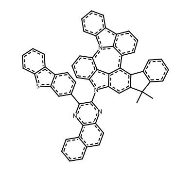 CC1(C)c2ccccc2-c2c1cc1c3c2c2cccc4c5ccccc5n(c5cccc(c35)n1-c1nc3ccc5ccccc5c3nc1-c1ccc3c(c1)sc1ccccc13)c42